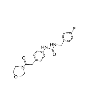 O=C(NCc1ccc(F)cc1)Nc1ccc(CC(=O)N2CCOCC2)cc1